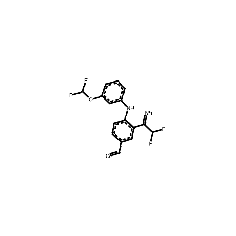 N=C(c1cc(C=O)ccc1Nc1cccc(OC(F)F)c1)C(F)F